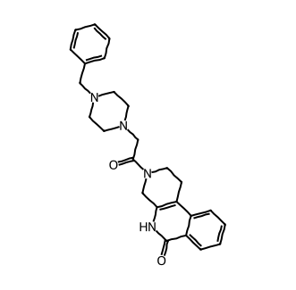 O=C(CN1CCN(Cc2ccccc2)CC1)N1CCc2c([nH]c(=O)c3ccccc23)C1